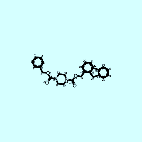 O=C(OCc1ccccc1)N1CCN(C(=O)OCc2cccc3c2Cc2ccccc2-3)CC1